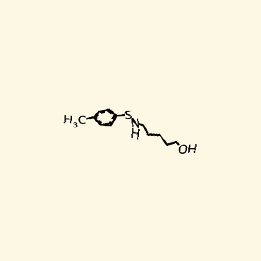 Cc1ccc(SNCCCCCO)cc1